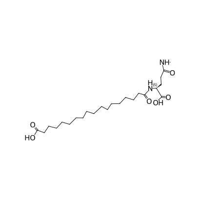 [NH]C(=O)CC[C@H](NC(=O)CCCCCCCCCCCCCCCCC(=O)O)C(=O)O